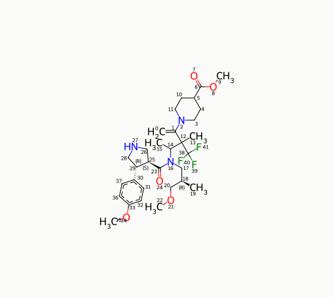 C=C(N1CCC(C(=O)OC)CC1)C(C)(C(C)N(C[C@@H](C)COC)C(=O)[C@@H]1CNC[C@H]1c1ccc(OC)cc1)C(F)(F)F